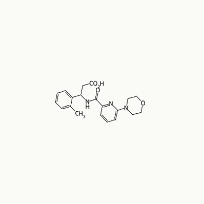 Cc1ccccc1C(CC(=O)O)NC(=O)c1cccc(N2CCOCC2)n1